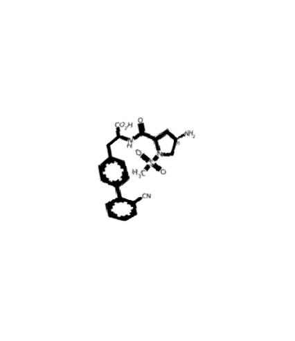 CS(=O)(=O)N1C[C@H](N)CC1C(=O)NC(Cc1ccc(-c2ccccc2C#N)cc1)C(=O)O